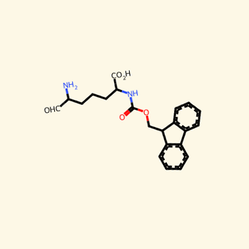 NC(C=O)CCCC(NC(=O)OCC1c2ccccc2-c2ccccc21)C(=O)O